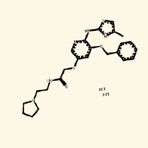 Cc1csc(Nc2ncc(SCC(=O)NCCN3CCCC3)cc2OCc2ccccc2)n1.Cl.Cl